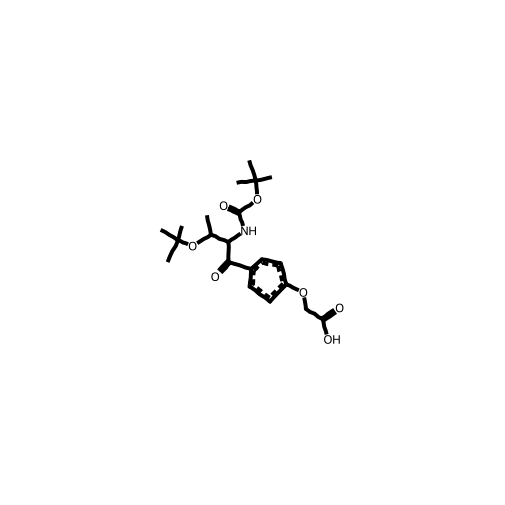 CC(OC(C)(C)C)C(NC(=O)OC(C)(C)C)C(=O)c1ccc(OCC(=O)O)cc1